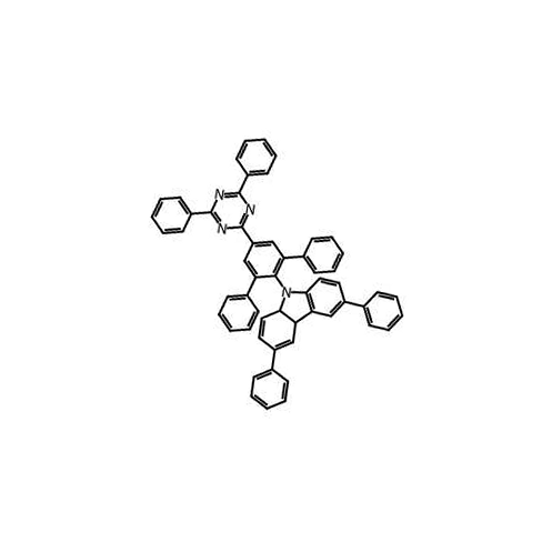 C1=CC2C(C=C1c1ccccc1)c1cc(-c3ccccc3)ccc1N2c1c(-c2ccccc2)cc(-c2nc(-c3ccccc3)nc(-c3ccccc3)n2)cc1-c1ccccc1